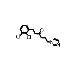 O=C(CCCn1ccnc1)CCc1cccc(Cl)c1Cl